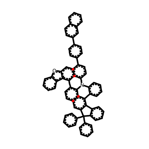 c1ccc(C2(c3ccccc3)c3ccccc3-c3c(-c4ccccc4N(c4ccc(-c5ccc(-c6ccc7ccccc7c6)cc5)cc4)c4ccccc4-c4cccc5oc6ccccc6c45)cccc32)cc1